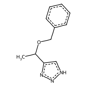 CC(OCc1ccccc1)c1c[nH]nn1